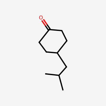 CC(C)CC1CCC(=O)CC1